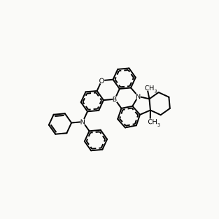 CC12CCCCC1(C)N1c3cccc4c3B(c3cc(N(c5ccccc5)C5C=CC=CC5)ccc3O4)c3cccc2c31